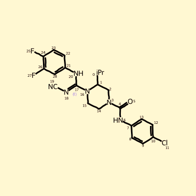 CC(C)C1CN(C(=O)Nc2ccc(Cl)cc2)CCN1/C(=N/C#N)Nc1ccc(F)c(F)c1